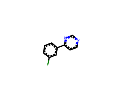 Fc1cc[c]c(-c2ccncn2)c1